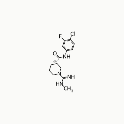 CNC(=N)N1CCC[C@H](C(=O)Nc2ccc(Cl)c(F)c2)C1